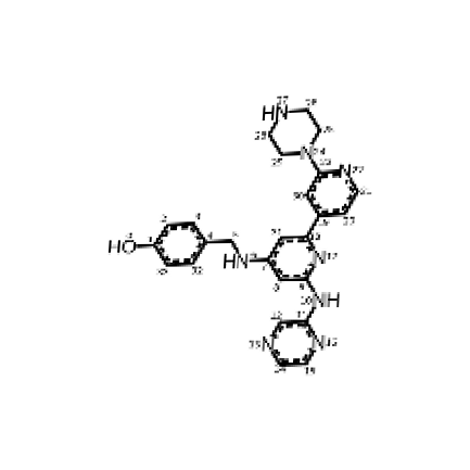 Oc1ccc(CNc2cc(Nc3cnccn3)nc(-c3ccnc(N4CCNCC4)c3)c2)cc1